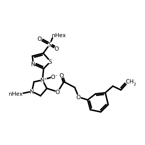 C=CCc1cccc(OCC(=O)OC2CN(CCCCCC)C[N+]2([O-])c2ncc(S(=O)(=O)CCCCCC)s2)c1